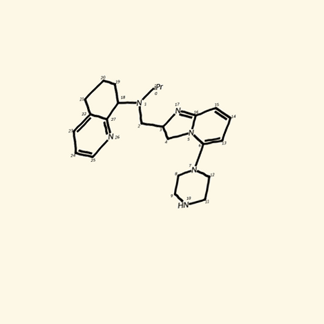 CC(C)N(CC1CN2C(N3CCNCC3)=CC=CC2=N1)C1CCCc2cccnc21